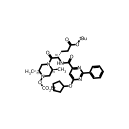 CCOC(=O)ON1C[C@H](C)N(C(=O)[C@H](CCC(=O)OC(C)(C)C)NC(=O)c2cc(OC3CCCC3)nc(-c3ccccc3)n2)C[C@H]1C